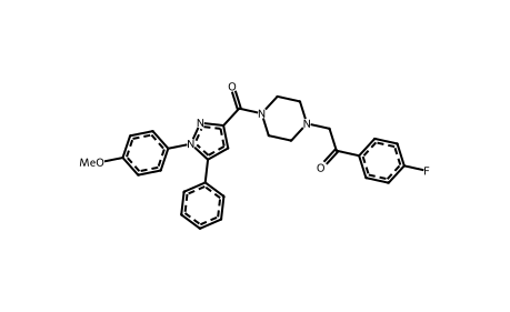 COc1ccc(-n2nc(C(=O)N3CCN(CC(=O)c4ccc(F)cc4)CC3)cc2-c2ccccc2)cc1